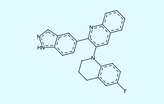 Fc1ccc2c(c1)CCCN2c1cc2ccccc2nc1-c1ccc2[nH]ncc2c1